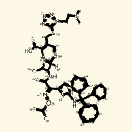 CN(C)CCn1nnnc1SCC1=C(C(=O)O)N2C(=O)C(NC(=O)/C(=N/OC(F)F)c3csc(NC(c4ccccc4)(c4ccccc4)c4ccccc4)n3)[C@H]2SC1